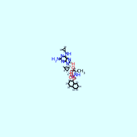 C[C@H](NP(=O)(OC[C@@H]1C=C[C@H](n2cnc3c(NC4CC4)nc(N)nc32)C1)Oc1cccc2ccccc12)C(=O)O